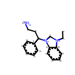 CCN1[CH]N(C(CCN)c2ccccc2)c2ccccc21